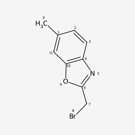 Cc1ccc2nc(CBr)oc2c1